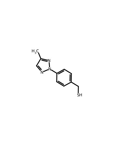 Cc1cnn(-c2ccc(CS)cc2)n1